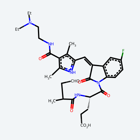 CCN(CC)CCNC(=O)c1c(C)[nH]c(/C=C2\C(=O)N(C(=O)[C@H](CCC(=O)O)NC(=O)C(C)CC=O)c3ccc(F)cc32)c1C